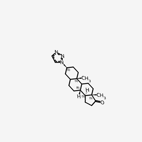 C[C@]12CC[C@H](n3ccnn3)CC1CC[C@@H]1C2CC[C@]2(C)C(=O)CC[C@@H]12